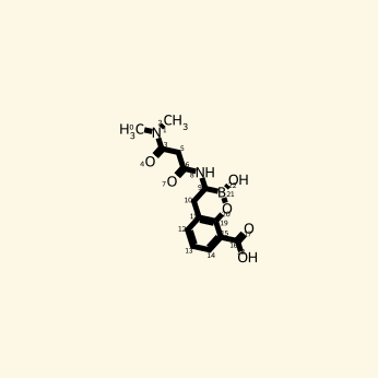 CN(C)C(=O)CC(=O)NC1Cc2cccc(C(=O)O)c2OB1O